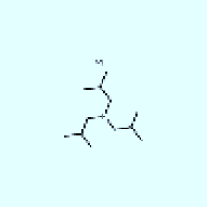 CC(C)CP(CC(C)C)CC(C)C.[Ag]